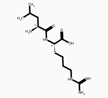 CC(C)C[C@H](N)C(=O)N[C@@H](CCCCNC(=N)N)C(=O)O